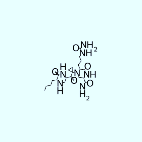 CCCC[C@@H]1NC[C@H](C(=O)C2(N3C[C@H](C(N)=O)NC(=O)[C@@H]3CCCNC(N)=O)CC2)NC1=O